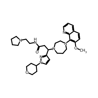 COc1ccc2cccnc2c1N1CCCN(C(CC(=O)NCCN2CCCC2)c2ccn(C3CCOCC3)n2)CC1